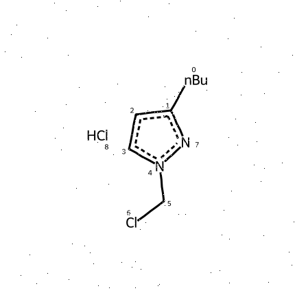 CCCCc1ccn(CCl)n1.Cl